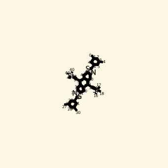 Cc1cc(C)cc(-c2nc3cc4c(C#C[Si](C)(C)C)c5cc6sc(-c7cc(C)cc(C)c7)nc6cc5c(C#C[Si](C)(C)C)c4cc3s2)c1